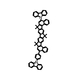 CC1(C)c2cc3c(cc2-c2cc4c(cc21)-c1c(cc(-n2c5ccccc5c5ccccc52)c2ccccc12)C4(C)C)C(C)(C)c1cc(-c2ccc(-n4c5ccccc5c5ccccc54)cc2)c2ccccc2c1-3